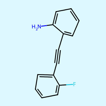 Nc1ccccc1C#Cc1ccccc1F